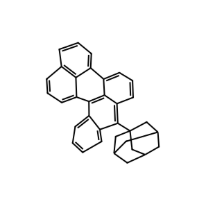 c1ccc2c(c1)c(C13CC4CC(CC(C4)C1)C3)c1cccc3c4cccc5cccc(c54)c2c13